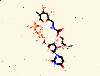 COCCOC(=O)NCC1O[C@H](O[P@@](=O)(O)O[P@@](=O)(O)OC[C@H]2O[C@@H](n3ccc(=O)[nH]c3=O)C(O)[C@H]2O)C(C)[C@@H](O)[C@@H]1O